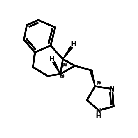 C1=N[C@H](CC2[C@H]3c4ccccc4CC[C@@H]23)CN1